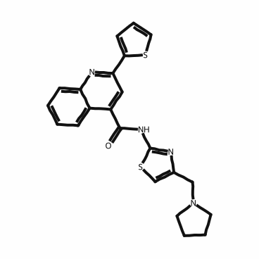 O=C(Nc1nc(CN2CCCC2)cs1)c1cc(-c2cccs2)nc2ccccc12